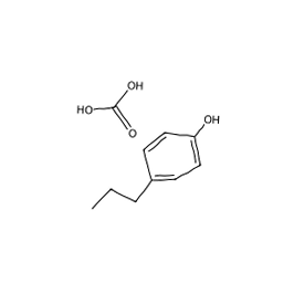 CCCc1ccc(O)cc1.O=C(O)O